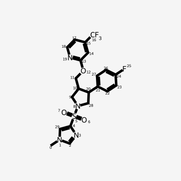 Cn1cnc(S(=O)(=O)N2CC(COc3cc(C(F)(F)F)ccn3)C(c3ccc(F)cc3)C2)c1